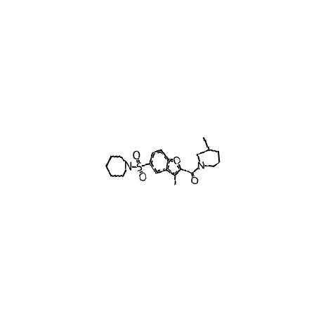 Cc1c(C(=O)N2CCCC(C)C2)oc2ccc(S(=O)(=O)N3CCCCC3)cc12